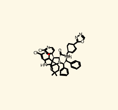 CC1(C)CCC2(CC1)N([C@H](c1ccccc1)C(O)c1ccccc1)[C@@H](C(=O)NC1CCC(c3nnco3)CC1)[C@H](c1ccnc(Cl)c1)C21C(=O)Nc2cc(Cl)ncc21